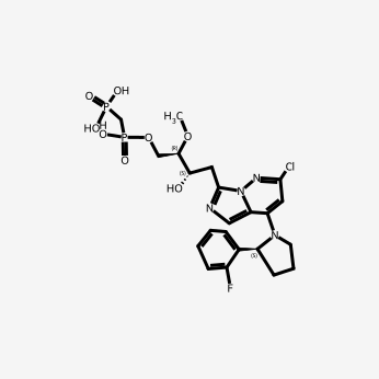 CO[C@H](COP(=O)(O)CP(=O)(O)O)[C@@H](O)Cc1ncc2c(N3CCC[C@H]3c3ccccc3F)cc(Cl)nn12